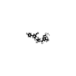 Cc1cn2cc(C(=O)N3C[C@@H]4C(Oc5cc(C#N)cc(-c6ccc(F)cc6)n5)[C@@H]4C3)cc(C(F)(F)F)c2n1